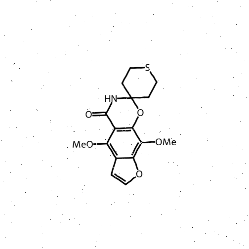 COc1c2c(c(OC)c3occc13)OC1(CCSCC1)NC2=O